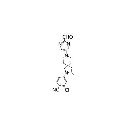 CC1CC2(CCN(c3cnc(C=O)nc3)CC2)CN1c1ccc(C#N)c(Cl)c1